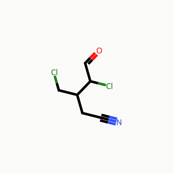 N#CCC(CCl)C(Cl)C=O